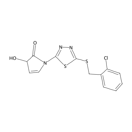 O=C1C(O)C=CN1c1nnc(SCc2ccccc2Cl)s1